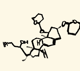 CC(C)CCC(O)[C@@H](C)[C@H]1CC[C@H]2C3=CC=C4C[C@@H](OC5CCCCO5)C[C@H](OC5CCCCO5)[C@]4(C)[C@H]3CC[C@]12C